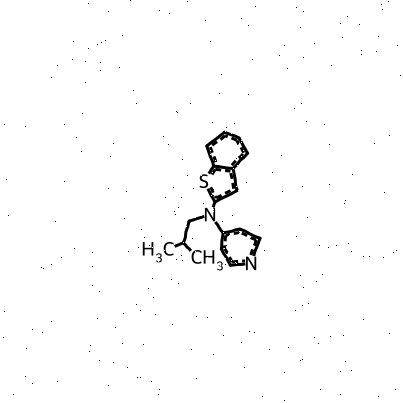 CC(C)CN(c1ccncc1)c1cc2ccccc2s1